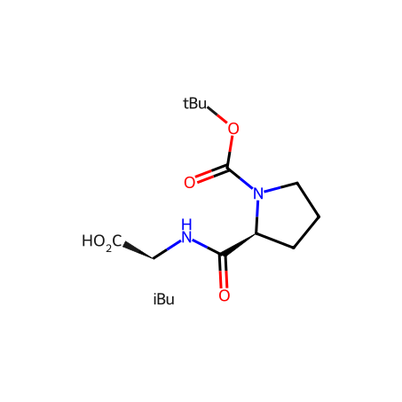 CC[C@H](C)[C@H](NC(=O)[C@@H]1CCCN1C(=O)OC(C)(C)C)C(=O)O